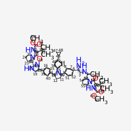 C=C(N/C=C(\N)c1ccc([C@@H]2CC[C@@H](c3ccc(-c4c[nH]c([C@@H]5CCCN5C(=O)[C@@H](NC(=O)OC)C(C)C)n4)cc3)N2c2ccc(C3CC3)cc2)cc1)[C@@H]1CCCN1C(=O)[C@@H](NC(=O)OC)C(C)C